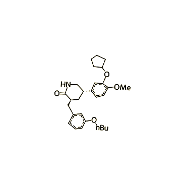 CCCCOc1cccc(C[C@@H]2C[C@@H](c3ccc(OC)c(OC4CCCC4)c3)CNC2=O)c1